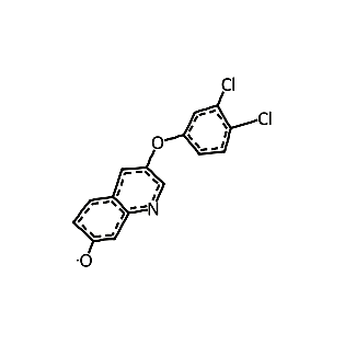 [O]c1ccc2cc(Oc3ccc(Cl)c(Cl)c3)cnc2c1